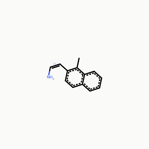 Cc1c(/C=C\N)ccc2ccccc12